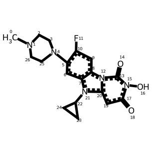 CN1CCN(c2cc3c(cc2F)n2c(=O)n(O)c(=O)cc2n3C2CC2)CC1